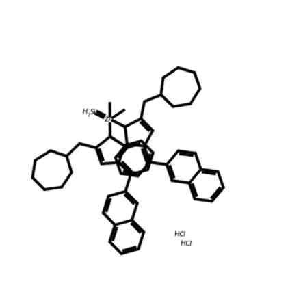 Cl.Cl.[CH3][Zr]([CH3])(=[SiH2])([CH]1C(CC2CCCCCC2)=Cc2c(-c3ccc4ccccc4c3)cccc21)[CH]1C(CC2CCCCCC2)=Cc2c(-c3ccc4ccccc4c3)cccc21